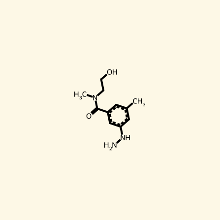 Cc1cc(NN)cc(C(=O)N(C)CCO)c1